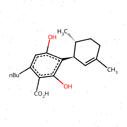 CCCCc1cc(O)c([C@@H]2C=C(C)CC[C@H]2C)c(O)c1C(=O)O